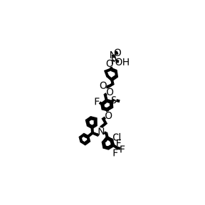 CSc1cc(OCCCN(Cc2cccc(C(F)(F)F)c2Cl)CC(C2=CCCC=C2)c2ccccc2)cc(F)c1COC(=O)CC1=CC=C(OP(O)N=O)CC1